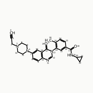 C#CCN1CCN(c2ccc3ncn(-c4cc(C(=O)NC5CC5)ccc4C)c(=O)c3c2)CC1